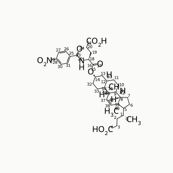 C[C@H](CCC(=O)O)C1CC[C@H]2[C@@H]3CC[C@@H]4C[C@H](OC(=O)[C@H](CCC(=O)O)NC(=O)c5ccc([N+](=O)[O-])cc5)CC[C@]4(C)[C@H]3C=C[C@]12C